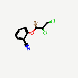 N#Cc1ccccc1OC(Br)C(Cl)CCl